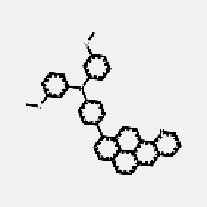 COc1cccc(N(c2ccc(-c3ccc4ccc5cc6cccnc6c6ccc3c4c56)cc2)c2cccc(OC)c2)c1